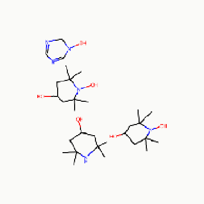 CC1(C)CC(O)CC(C)(C)N1.CC1(C)CC(O)CC(C)(C)N1O.CC1(C)CC(O)CC(C)(C)N1O.ON1C=NC=NC1